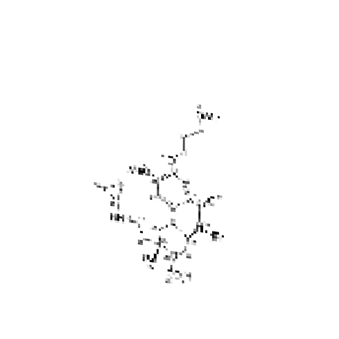 COCCCOc1cc(C(=O)N(C(C)C)[C@@H]2CC[C@](CCNC3CC3)(C(C)(C)C)N(C(=O)O)C2)ccc1OC